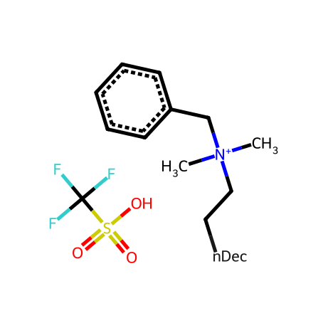 CCCCCCCCCCCC[N+](C)(C)Cc1ccccc1.O=S(=O)(O)C(F)(F)F